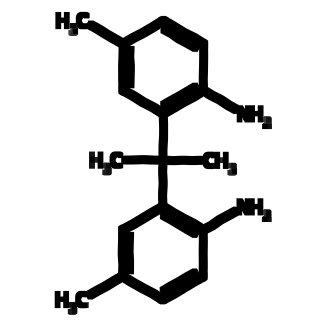 Cc1ccc(N)c(C(C)(C)c2cc(C)ccc2N)c1